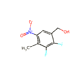 Cc1c([N+](=O)[O-])cc(CO)c(F)c1F